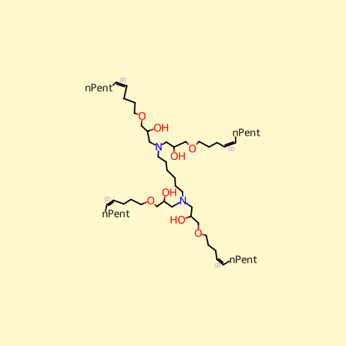 CCCCC/C=C\CCCOCC(O)CN(CCCCCCN(CC(O)COCCC/C=C\CCCCC)CC(O)COCCC/C=C\CCCCC)CC(O)COCCC/C=C\CCCCC